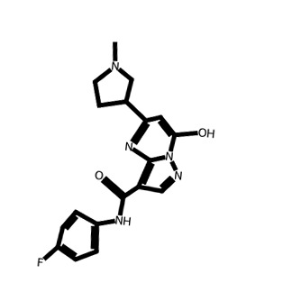 CN1CCC(c2cc(O)n3ncc(C(=O)Nc4ccc(F)cc4)c3n2)C1